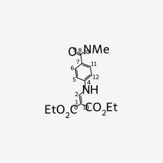 CCOC(=O)C(=CNc1ccc(C(=O)NC)cc1)C(=O)OCC